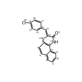 O=C1Nc2c(ccc3ccccc23)S/C1=C\c1ccc(Cl)cc1